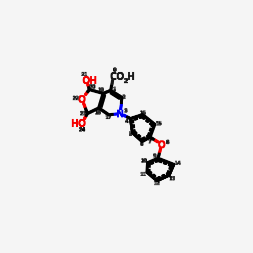 O=C(O)C1=CN(c2ccc(Oc3ccccc3)cc2)CC2=C1C(O)OC2O